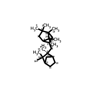 CC1(C)CC2C(C[C@@]3(C)C4CCC(C4)C3(C)I)CC1(C)C2(C)C